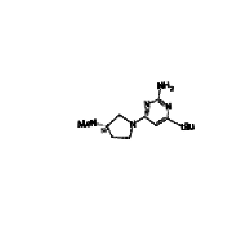 CN[C@H]1CCN(c2cc(C(C)(C)C)nc(N)n2)C1